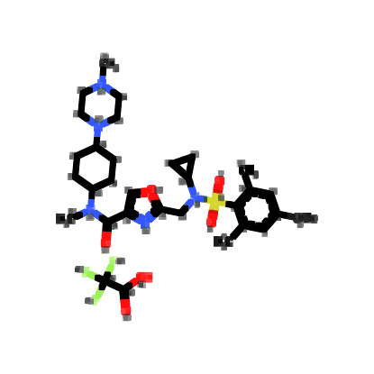 COc1cc(C)c(S(=O)(=O)N(Cc2nc(C(=O)N(C)C3CCC(N4CCN(C)CC4)CC3)co2)C2CC2)c(C)c1.O=C(O)C(F)(F)F